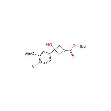 COc1cc(C2(O)CN(C(=O)OC(C)(C)C)C2)ccc1Cl